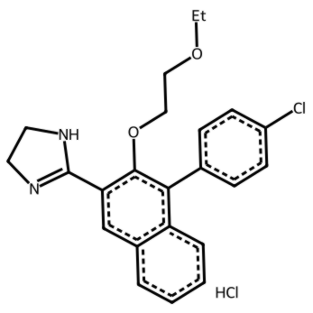 CCOCCOc1c(C2=NCCN2)cc2ccccc2c1-c1ccc(Cl)cc1.Cl